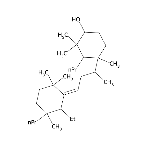 CCCC1C(C)(C)C(O)CCC1(C)C(C)C/C=C1/C(CC)C(C)(CCC)CCC1(C)C